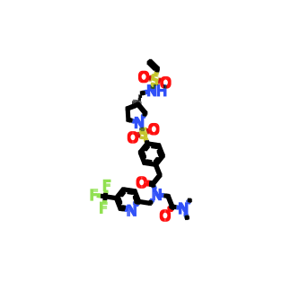 C=CS(=O)(=O)NC[C@H]1CCN(S(=O)(=O)c2ccc(CC(=O)N(CC(=O)N(C)C)Cc3ccc(C(F)(F)F)cn3)cc2)C1